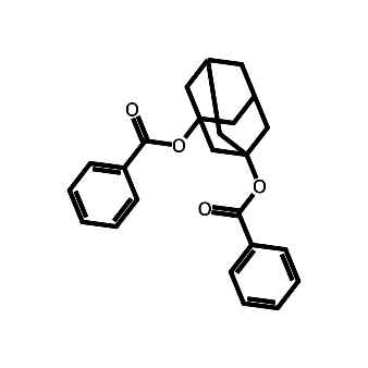 O=C(OC12CC3CC(C1)CC(OC(=O)c1ccccc1)(C3)C2)c1ccccc1